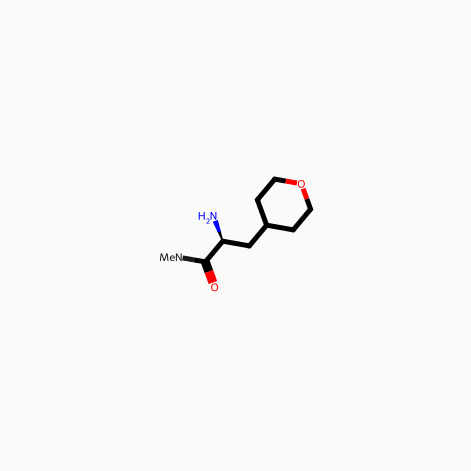 CNC(=O)[C@@H](N)CC1CCOCC1